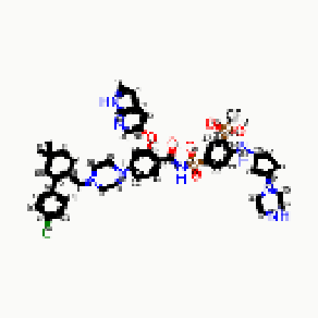 CC1(C)CCC(CN2CCN(c3ccc(C(=O)NS(=O)(=O)c4ccc(N[C@H]5CCC(N6CCNCC6)C5)c(S(=O)(=O)C(F)(F)F)c4)c(Oc4cnc5[nH]ccc5c4)c3)CC2)=C(c2ccc(Cl)cc2)C1